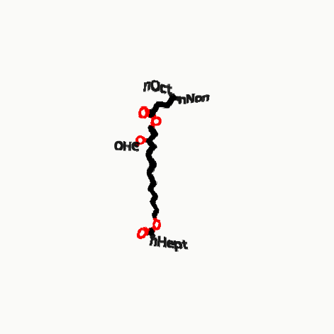 CCCCCCCCCC(CCCCCCCC)CCC(=O)OCCC(CCCCCCCCCCOC(=O)CCCCCCC)OC=O